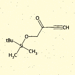 C#CC(=O)CO[Si](C)(C)C(C)(C)C